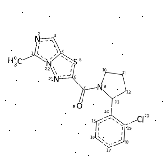 Cc1ncc2sc(C(=O)N3CCCC3c3ccccc3Cl)nn12